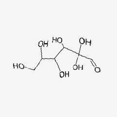 O=CC(O)(O)C(O)C(O)C(O)CO